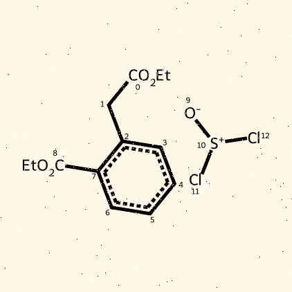 CCOC(=O)Cc1ccccc1C(=O)OCC.[O-][S+](Cl)Cl